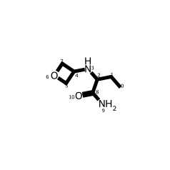 CCC(NC1COC1)C(N)=O